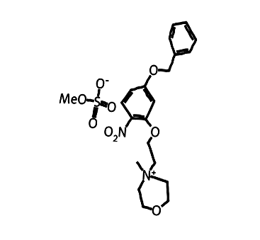 COS(=O)(=O)[O-].C[N+]1(CCOc2cc(OCc3ccccc3)ccc2[N+](=O)[O-])CCOCC1